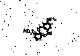 Nc1ccc2c(c1)COc1c(cccc1C(=O)O)OC2=O